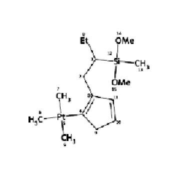 CCC(CC1=[C]([Pt]([CH3])([CH3])[CH3])CC=C1)[Si](C)(OC)OC